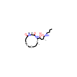 CCCCNC(=O)[C@H](C)C[C@H](O)[C@@H]1C[C@H](C)CCCCCCCCC(=O)N(C)[C@@H](C)C(=O)N1